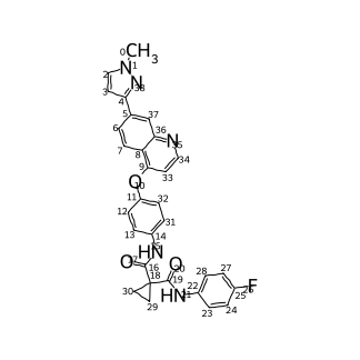 Cn1ccc(-c2ccc3c(Oc4ccc(NC(=O)C5(C(=O)Nc6ccc(F)cc6)CC5)cc4)ccnc3c2)n1